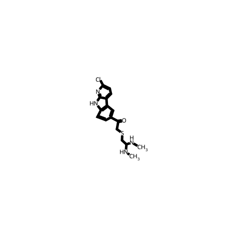 CNC(CSCC(=O)c1ccc2[nH]c3nc(Cl)ccc3c2c1)NC